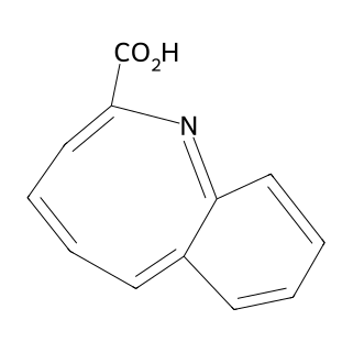 O=C(O)C1=CC=CC=c2ccccc2=N1